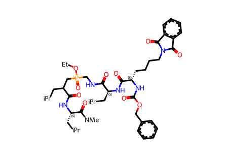 CCOP(=O)(CNC(=O)[C@H](CC(C)C)NC(=O)[C@H](CCCCN1C(=O)c2ccccc2C1=O)NC(=O)OCc1ccccc1)CC(CC(C)C)C(=O)N[C@@H](CC(C)C)C(=O)NC